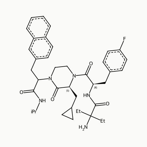 CCC(N)(CC)C(=O)N[C@H](Cc1ccc(F)cc1)C(=O)N1CCN(C(Cc2ccc3ccccc3c2)C(=O)NC(C)C)C(=O)[C@@H]1CC1CC1